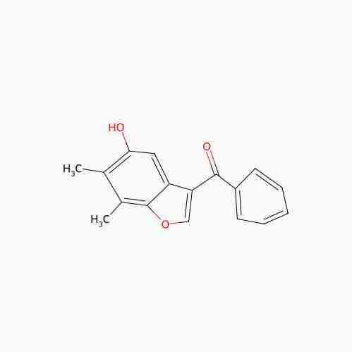 Cc1c(O)cc2c(C(=O)c3ccccc3)coc2c1C